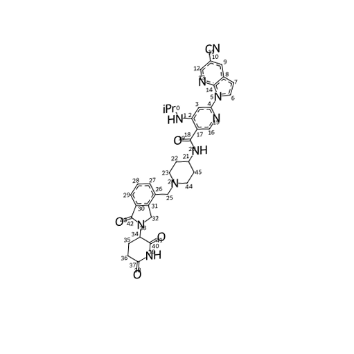 CC(C)Nc1cc(-n2ccc3cc(C#N)cnc32)ncc1C(=O)NC1CCN(Cc2cccc3c2CN(C2CCC(=O)NC2=O)C3=O)CC1